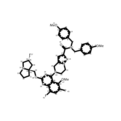 COc1ccc(CN(Cc2ccc(OC)cc2)C(=O)c2cc3n(n2)CCN(c2nc(OC[C@@]45CCCN4C[C@H](F)C5)nc4c(F)cc(F)c(OC)c24)C3)cc1